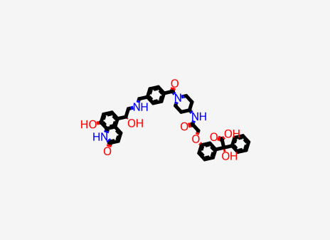 O=C(COc1cccc([C@](O)(C(=O)O)c2ccccc2)c1)NC1CCN(C(=O)c2ccc(CNC[C@H](O)c3ccc(O)c4[nH]c(=O)ccc34)cc2)CC1